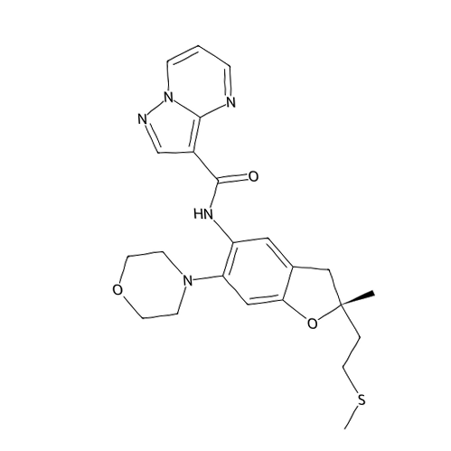 CSCC[C@@]1(C)Cc2cc(NC(=O)c3cnn4cccnc34)c(N3CCOCC3)cc2O1